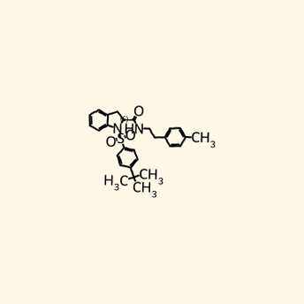 Cc1ccc(CCNC(=O)[C@@H]2Cc3ccccc3N2S(=O)(=O)c2ccc(C(C)(C)C)cc2)cc1